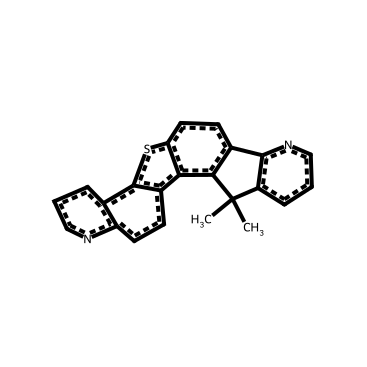 CC1(C)c2cccnc2-c2ccc3sc4c5cccnc5ccc4c3c21